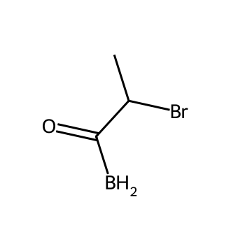 BC(=O)C(C)Br